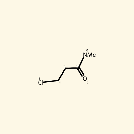 CNC(=O)CCCl